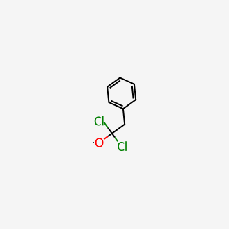 [O]C(Cl)(Cl)Cc1ccccc1